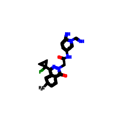 N=Cn1cc(NC(=O)Cn2nc(C3(F)CC3)c3cc(C(F)(F)F)ccc3c2=O)ccc1=N